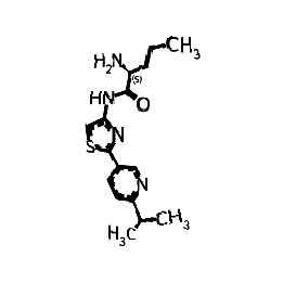 CCC[C@H](N)C(=O)Nc1csc(-c2ccc(C(C)C)nc2)n1